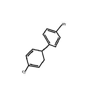 CC(C)c1ccc(C2C=CC(Cl)=CC2)cc1